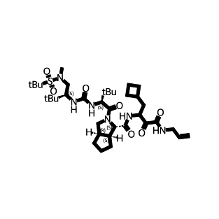 C=CCNC(=O)C(=O)C(CC1CCC1)NC(=O)[C@@H]1[C@H]2CCC[C@H]2CN1C(=O)[C@@H](NC(=O)N[C@H](CN(C)S(=O)(=O)C(C)(C)C)C(C)(C)C)C(C)(C)C